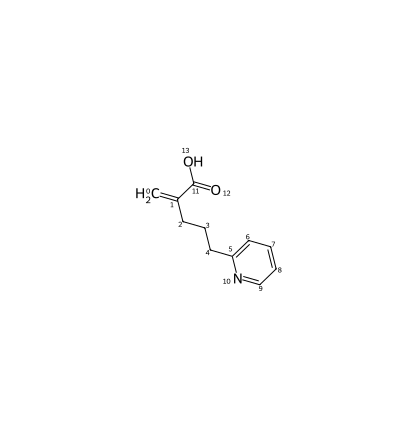 C=C(CCCc1ccccn1)C(=O)O